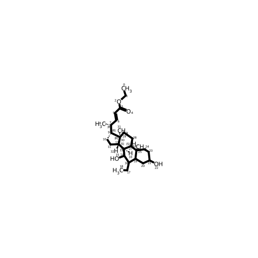 CCOC(=O)C=C[C@@H](C)[C@H]1CC[C@H]2[C@@H]3C(O)C(CC)C4CC(O)CC[C@]4(C)[C@H]3CC[C@]12C